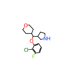 Fc1cccc(OC(C2CCOCC2)C2CCNC2)c1Cl